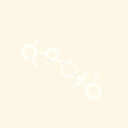 Cc1cccc(C)c1-c1csc(N2CCN(S(=O)(=O)c3ccccc3Cl)CC2)n1